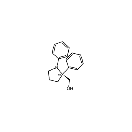 OC[C@@]1(c2ccccc2)CCCN1c1ccccc1